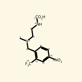 CN(CCNC(=O)O)Cc1ccc([N+](=O)[O-])cc1C(F)(F)F